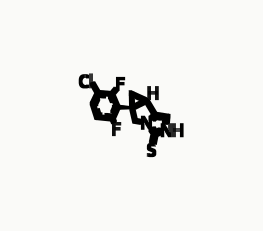 Fc1ccc(Cl)c(F)c1[C@@]12C[C@@H]1c1c[nH]c(=S)n1C2